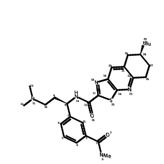 CNC(=O)c1cccc([C@@H](CCN(C)C)NC(=O)c2nc3cc4c(nc3s2)CC[C@H](C(C)(C)C)C4)c1